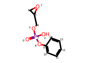 O=P(O)(OCC1CO1)Oc1ccccc1